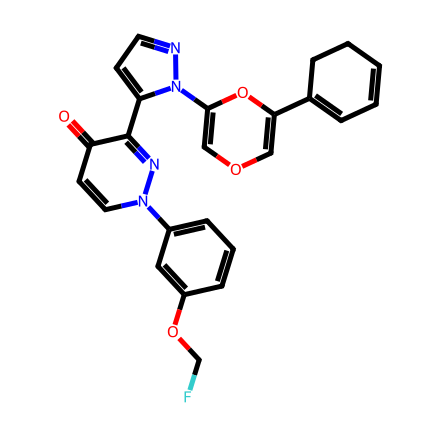 O=c1ccn(-c2cccc(OCF)c2)nc1-c1ccnn1C1=COC=C(C2=CC=CCC2)O1